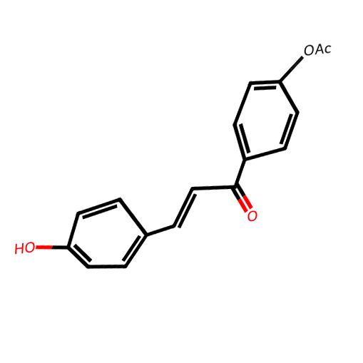 CC(=O)Oc1ccc(C(=O)/C=C/c2ccc(O)cc2)cc1